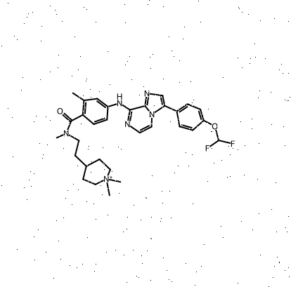 Cc1cc(Nc2nccn3c(-c4ccc(OC(F)F)cc4)cnc23)ccc1C(=O)N(C)CCC1CC[N+](C)(C)CC1